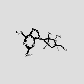 CSc1nc(N)c2ncn(C3[C@@H]4C[C@](C)(CO)[C@@H](O)[C@@]34O)c2n1